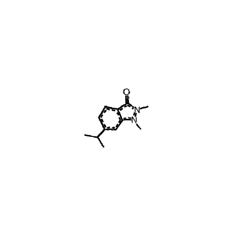 CC(C)c1ccc2c(=O)n(C)n(C)c2c1